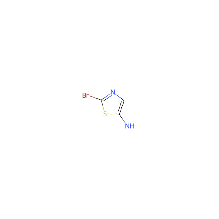 [NH]c1cnc(Br)s1